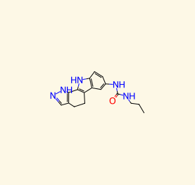 CCCNC(=O)Nc1ccc2[nH]c3c(c2c1)CCc1cn[nH]c1-3